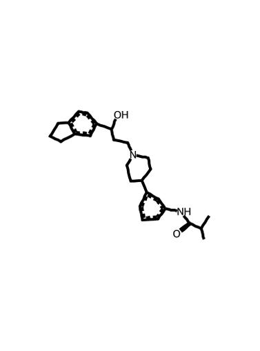 CC(C)C(=O)Nc1cccc(C2CCN(CCC(O)c3ccc4c(c3)CCC4)CC2)c1